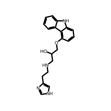 OC(CNCCc1c[nH]cn1)COc1cccc2[nH]c3ccccc3c12